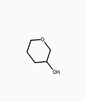 O[C]1CCCOC1